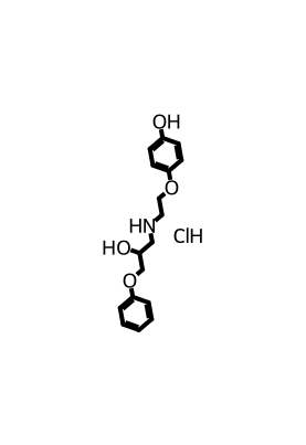 Cl.Oc1ccc(OCCNCC(O)COc2ccccc2)cc1